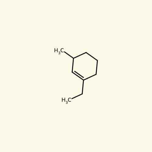 CCC1=CC(C)CCC1